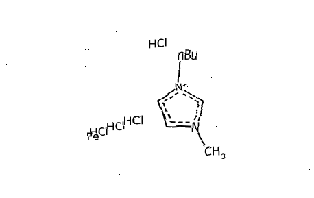 CCCC[n+]1ccn(C)c1.Cl.Cl.Cl.Cl.[Fe]